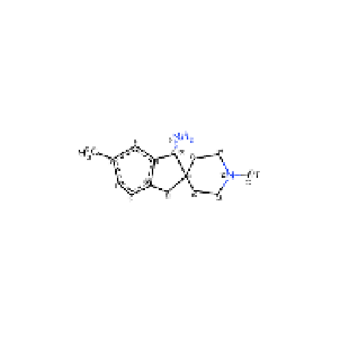 Cc1ccc2c(c1)[C@H](N)C1(CCN(C(C)C)CC1)C2